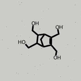 OCC1=C(CO)C2CC1C(CO)C2CO